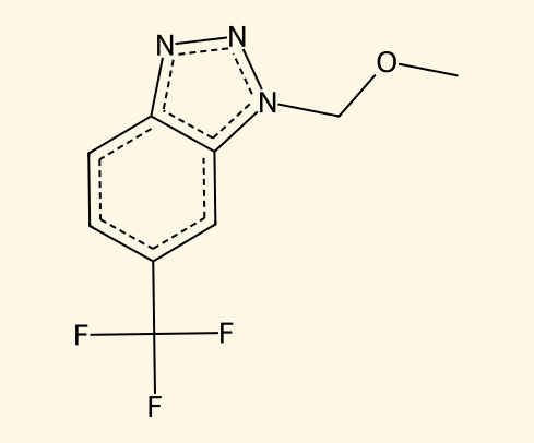 COCn1nnc2ccc(C(F)(F)F)cc21